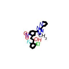 Cn1nc(-c2ccccn2)nc1-c1ccc([N+](=O)[O-])c(CC(O)c2c(F)cccc2Cl)c1